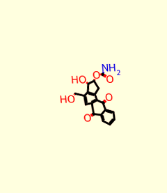 NC(=O)OC1Cc2c3c(cc(CO)c2C1O)C(=O)c1ccccc1C3=O